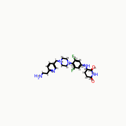 NCCc1ccc(CN2CCN(c3c(F)cc(NC4CCC(=O)NC4=O)cc3F)CC2)cn1